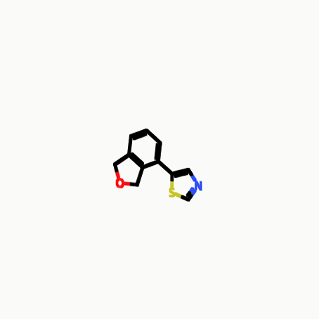 c1cc2c(c(-c3cncs3)c1)COC2